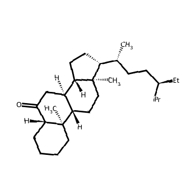 CC[C@H](CC[C@@H](C)[C@H]1CC[C@H]2[C@@H]3CC(=O)[C@H]4CCCC[C@]4(C)[C@H]3CC[C@]12C)C(C)C